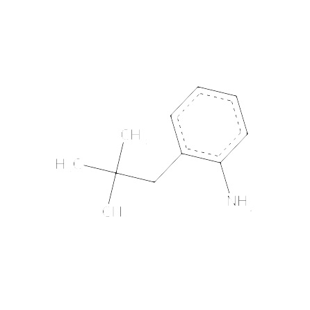 CC(C)(C)Cc1ccccc1N